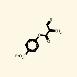 C=C(C=S)C(=O)Oc1ccc(C(=O)OCC)cc1